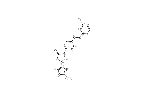 Cc1nc([C@@H]2CC(=O)N(c3ccc(OCc4cccc(F)c4)cc3)C2)no1